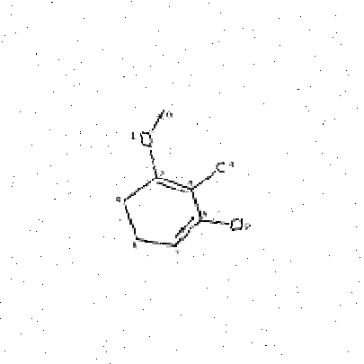 COC1=C(Cl)C(Cl)=CCC1